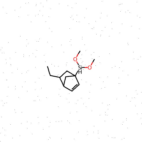 CCC1CC2([SiH](OC)OC)C=CC1C2